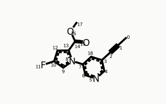 CC#Cc1cncc(-n2cc(F)cc2C(=O)OC)c1